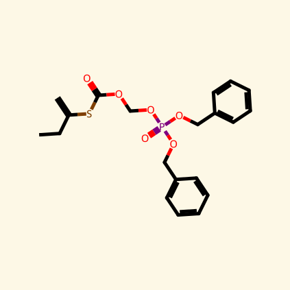 C=C(CC)SC(=O)OCOP(=O)(OCc1ccccc1)OCc1ccccc1